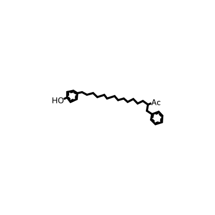 CC(=O)C(CCCCCCCCCCCCCc1ccc(O)cc1)Cc1ccccc1